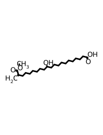 C=C(CCCCCCCC(O)CCCCCCCCCCC(=O)O)C(=O)OC